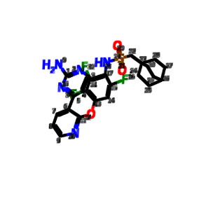 Nc1nccc(-c2cccnc2Oc2cc(F)c(NS(=O)(=O)CC34CCC(CC3)CC4)c(F)c2F)n1